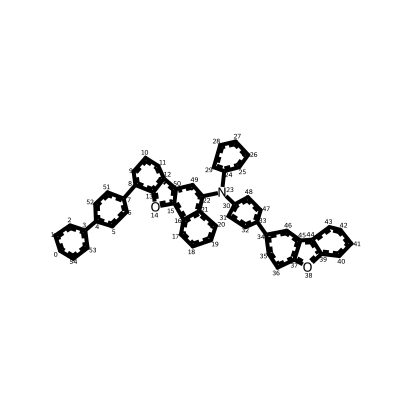 c1ccc(-c2ccc(-c3cccc4c3oc3c5ccccc5c(N(c5ccccc5)c5ccc(-c6ccc7oc8ccccc8c7c6)cc5)cc43)cc2)cc1